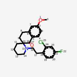 COc1ccc2c(c1)CCC1(CCCCN1CCc1ccc(F)cc1Cl)C2=O